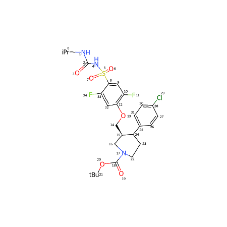 CC(C)NC(=O)NS(=O)(=O)c1cc(F)c(OC[C@@H]2CN(C(=O)OC(C)(C)C)CCC2c2ccc(Cl)cc2)cc1F